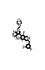 Nc1ncnc2c1c(-c1ccc3cc(Cc4cc(F)cc(F)c4)ncc3c1F)cn2CCN1CCOCC1